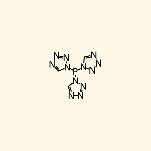 c1nnnn1P(n1cnnn1)n1cnnn1